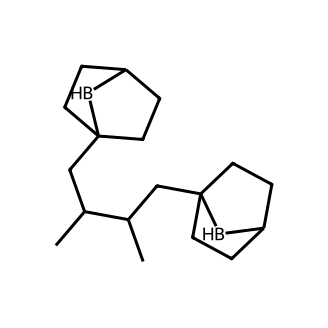 CC(CC12BC(CC1)CC2)C(C)CC12BC(CC1)CC2